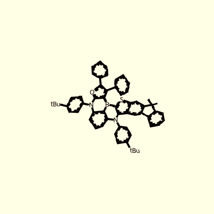 CC(C)(C)c1ccc(N2c3cccc4c3B(c3sc5cc6c(cc5c3N4c3ccc(C(C)(C)C)cc3)-c3ccccc3C6(C)C)c3c2oc(-c2ccccc2)c3-c2ccccc2)cc1